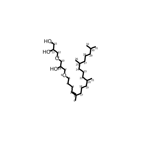 CC(=CCCCOCC(O)COCC(O)CO)CCCC(C)CCCC(C)CCCC(C)C